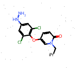 CC(C)Cn1cc(Oc2c(Cl)cc(NN)cc2Cl)ccc1=O